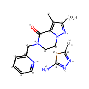 Cc1c(C(=O)O)nn2c1C(=O)N(Cc1ccccn1)CC2.Nc1nnc(C(F)(F)F)s1